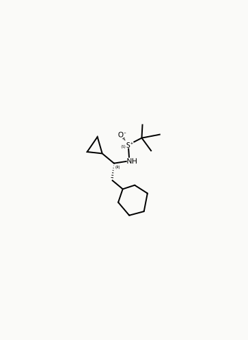 CC(C)(C)[S@@+]([O-])N[C@H](CC1CCCCC1)C1CC1